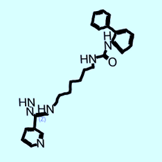 N=N/C(=C\NCCCCCCCNC(=O)Nc1ccccc1-c1ccccc1)c1cccnc1